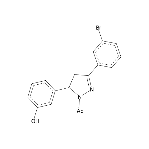 CC(=O)N1N=C(c2cccc(Br)c2)CC1c1cccc(O)c1